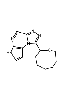 c1cc2c(ncc3nnc(C4CCCCCCC4)n32)[nH]1